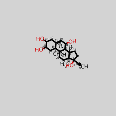 C#CC1(O)CC[C@H]2[C@@H]3C(O)C=C4CC(O)C(O)C[C@]4(C)[C@@H]3CC[C@@]21C